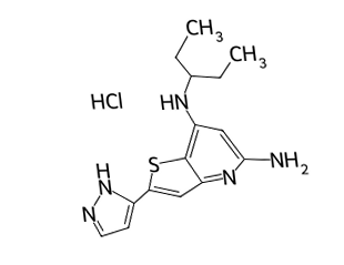 CCC(CC)Nc1cc(N)nc2cc(-c3ccn[nH]3)sc12.Cl